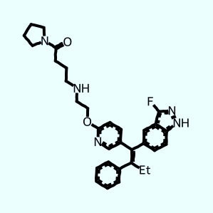 CC/C(=C(/c1ccc(OCCNCCCC(=O)N2CCCC2)nc1)c1ccc2[nH]nc(F)c2c1)c1ccccc1